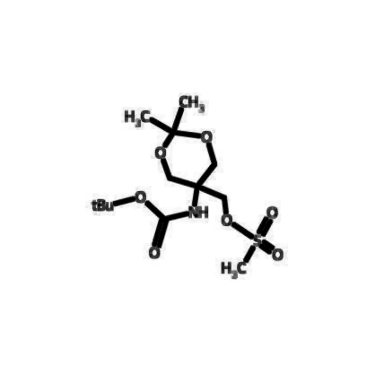 CC(C)(C)OC(=O)NC1(COS(C)(=O)=O)COC(C)(C)OC1